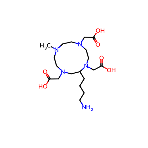 CN1CCN(CC(=O)O)CCN(CC(=O)O)C(CCCCN)CN(CC(=O)O)CC1